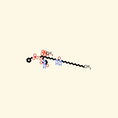 CCCCCCCCCCCCCCCNC(=O)NCCCC/C=C/CC1[C@@H](OP(=O)(O)OC)[C@@H](COC(=O)OCc2ccccc2)O[C@H]1n1ccc(=O)[nH]c1=O